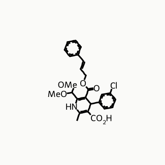 COC(OC)C1=C(C(=O)OC/C=C/c2ccccc2)C(c2cccc(Cl)c2)C(C(=O)O)=C(C)N1